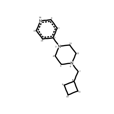 c1cc(N2CCN(CC3CCC3)CC2)ccn1